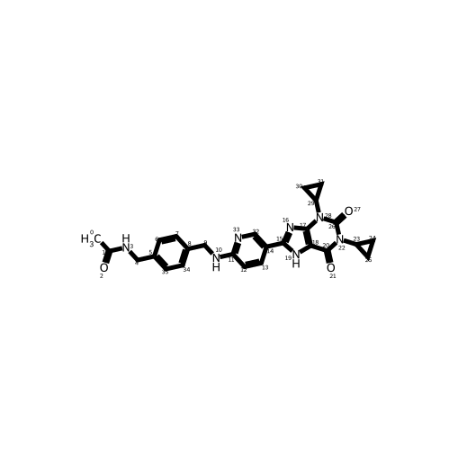 CC(=O)NCc1ccc(CNc2ccc(-c3nc4c([nH]3)c(=O)n(C3CC3)c(=O)n4C3CC3)cn2)cc1